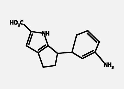 NC1=CC(C2CCc3cc(C(=O)O)[nH]c32)CC=C1